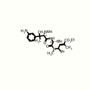 CCOC(=O)C(C)=CC(C(C)C)N(C)C(=O)[C@H](NC(=O)[C@@H](NC)C(C)(C)c1cccc(N)c1)C(C)(C)C